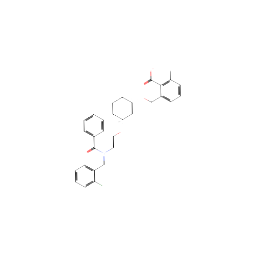 Cc1cccc(CO[C@H]2CCC[C@@H](OCCN(Cc3ccccc3Cl)C(=O)c3ccccc3)C2)c1C(=O)O